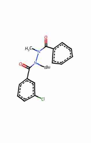 CN(C(=O)c1ccccc1)N(C(=O)c1cccc(Cl)c1)C(C)(C)C